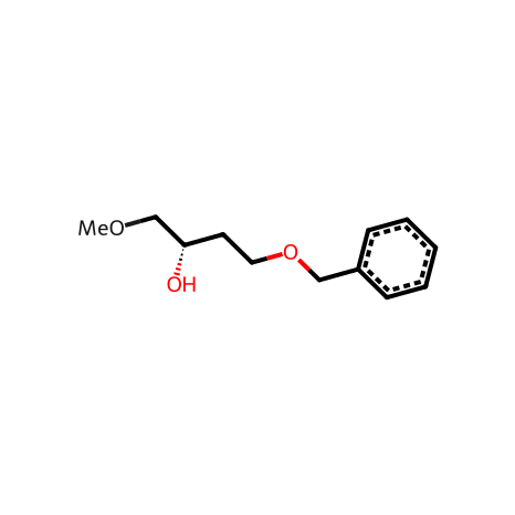 COC[C@@H](O)CCOCc1ccccc1